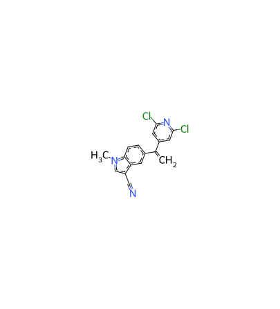 C=C(c1cc(Cl)nc(Cl)c1)c1ccc2c(c1)c(C#N)cn2C